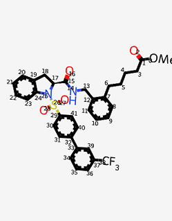 COC(=O)CCCCc1ccccc1CNC(=O)[C@@H]1Cc2ccccc2N1S(=O)(=O)c1ccc(-c2cccc(C(F)(F)F)c2)cc1